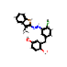 CC(=O)Oc1c(N=Nc2cc(Cc3cc(O)ccc3O)ccc2Cl)sc2ccccc12